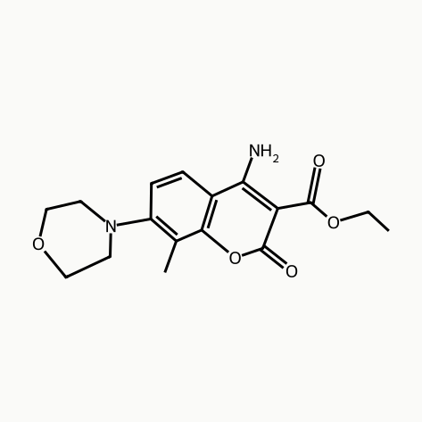 CCOC(=O)c1c(N)c2ccc(N3CCOCC3)c(C)c2oc1=O